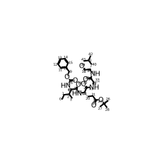 CCC(C)[C@H](NC(=O)OCc1ccccc1)C(=O)N[C@@H](CCC(=O)OC(C)(C)C)C(=O)N[C@@H](C)C(=O)N[C@H](C=O)CC(C)C